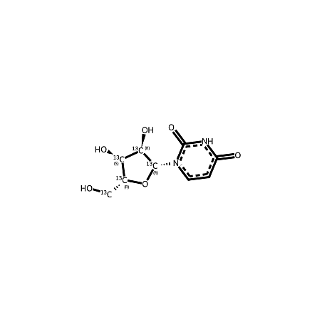 O=c1ccn([13C@@H]2O[13C@H]([13CH2]O)[13C@@H](O)[13C@H]2O)c(=O)[nH]1